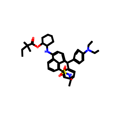 CCN(CC)c1ccc(C(c2ccc(C)cc2)c2ccc(NC3CCCCC3OC(=O)C(C)(C)CC)c3cccc(S(=O)(=O)NC)c23)cc1